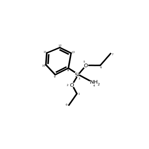 CCO[Si](N)(OCC)c1ccccc1